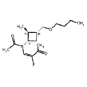 CCCCOC[C@@H]1C[C@H](N(/C=C(/F)C(C)=O)C(C)=O)[C@H]1C